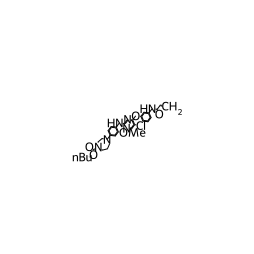 C=CC(=O)Nc1cccc(Oc2nc(Nc3ccc(N4CCCN(C(=O)OCCCC)CC4)cc3OC)ncc2Cl)c1